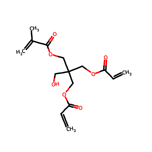 C=CC(=O)OCC(CO)(COC(=O)C=C)COC(=O)C(=C)C